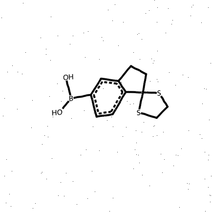 OB(O)c1ccc2c(c1)CCC21SCCS1